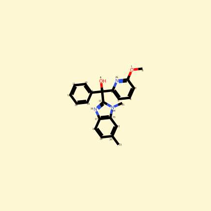 COc1cccc(C(O)(c2ccccc2)c2nc3ccc(C)cc3n2C)n1